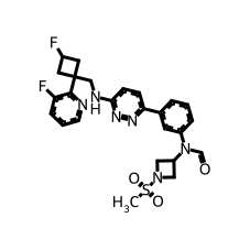 CS(=O)(=O)N1CC(N(C=O)c2cccc(-c3ccc(NCC4(c5ncccc5F)CC(F)C4)nn3)c2)C1